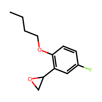 CCCCOc1ccc(F)cc1C1CO1